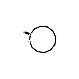 O=S1CCCCCCCCCCO1